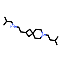 CC(C)CCN1CCC2(CC1)CC(CCNCC(C)C)C2